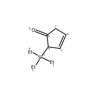 CC[Si](CC)(CC)C1C=CCC1=O